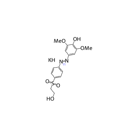 COc1cc(/N=N/c2ccc(S(=O)(=O)CCO)cc2)cc(OC)c1O.[KH]